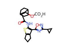 O=C(O)OC1=C(C(=O)Nc2sc3c(c2-c2nc(C4CC4)no2)CCC3)C2CCC1CC2